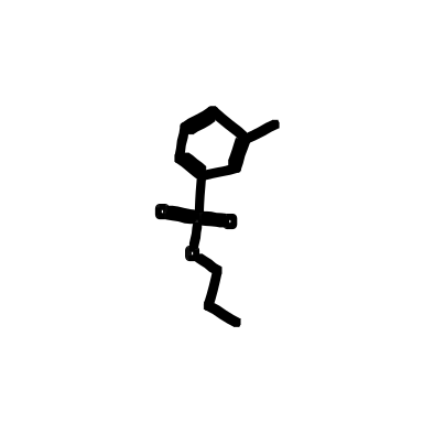 CCCOS(=O)(=O)c1cccc(C)c1